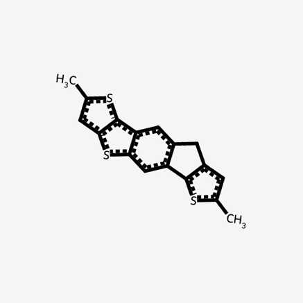 Cc1cc2c(s1)-c1cc3sc4cc(C)sc4c3cc1C2